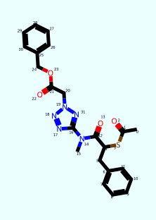 CC(=O)SC(Cc1ccccc1)C(=O)N(C)c1nnn(CC(=O)OCc2ccccc2)n1